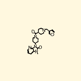 Cn1c(=O)n(C2CCN(C(=O)C3CCN(Cc4ccoc4)CC3)CC2)c2ncccc21